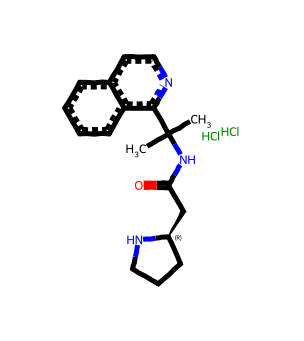 CC(C)(NC(=O)C[C@H]1CCCN1)c1nccc2ccccc12.Cl.Cl